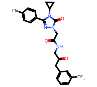 O=C(CNC(=O)Cn1nc(-c2ccc(Cl)cc2)n(C2CC2)c1=O)Cc1cccc(C(F)(F)F)c1